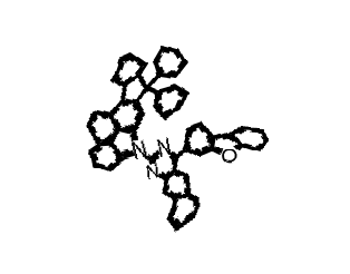 c1ccc(C2(c3ccccc3)c3ccccc3-c3c2cc2c4c3ccc3cccc(c34)n2-c2nc(-c3ccc4c(c3)oc3ccccc34)c3cc4ccccc4cc3n2)cc1